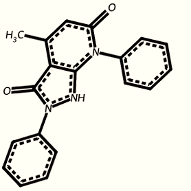 Cc1cc(=O)n(-c2ccccc2)c2[nH]n(-c3ccccc3)c(=O)c12